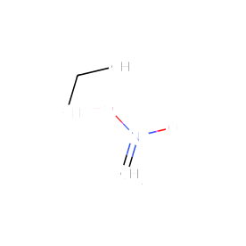 C=[N+]([O-])O.CCC